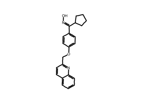 ON=C(c1ccc(OCc2ccc3ccccc3n2)cc1)C1CCCC1